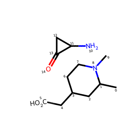 CC1CC(CC(=O)O)CCN1C.NC1CC1=O